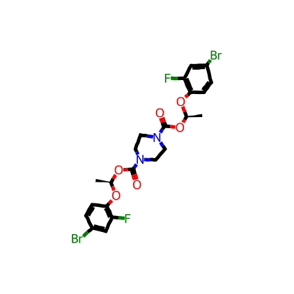 C[C@@H](OC(=O)N1CCN(C(=O)O[C@H](C)Oc2ccc(Br)cc2F)CC1)Oc1ccc(Br)cc1F